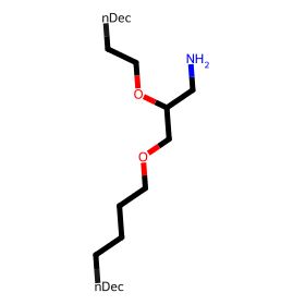 CCCCCCCCCCCCCCOCC(CN)OCCCCCCCCCCCC